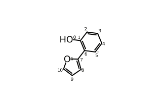 Oc1ccc[c]c1-c1ccco1